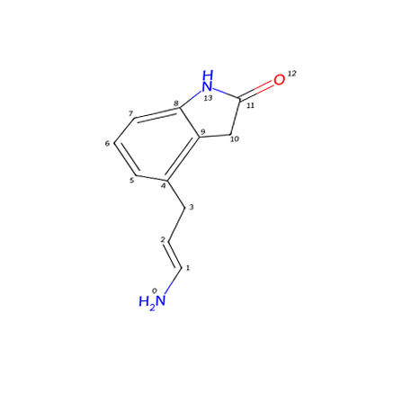 NC=CCc1cccc2c1CC(=O)N2